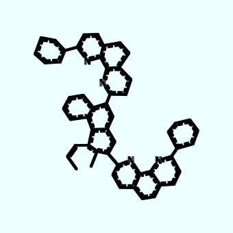 C/C=C\c1c(C)c(-c2ccc3ccc4ccc(-c5ccccc5)nc4c3n2)cc2cc(-c3ccc4ccc5ccc(-c6ccccc6)nc5c4n3)c3ccccc3c12